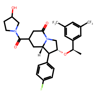 C[C@@H](O[C@H]1CN2C(=O)CC(C(=O)N3CCC(O)C3)C[C@H]2C1c1ccc(F)cc1)c1cc(C(F)(F)F)cc(C(F)(F)F)c1